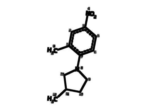 Cc1cc([N+](=O)[O-])ccc1N1CCC(C)C1